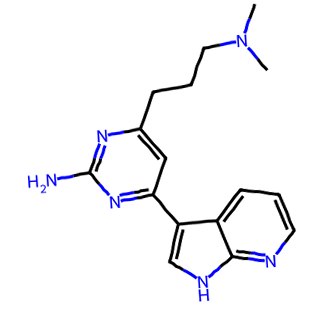 CN(C)CCCc1cc(-c2c[nH]c3ncccc23)nc(N)n1